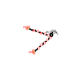 CC(C)(C)c1ccc(OCCOCCOCCOCCOCCCCS(=O)(=O)O)c(OCCOCCOCCOCCOCCCCS(=O)(=O)O)c1